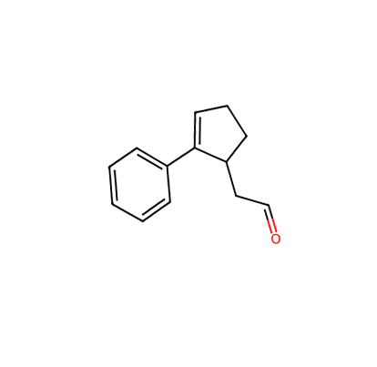 O=CCC1CCC=C1c1ccccc1